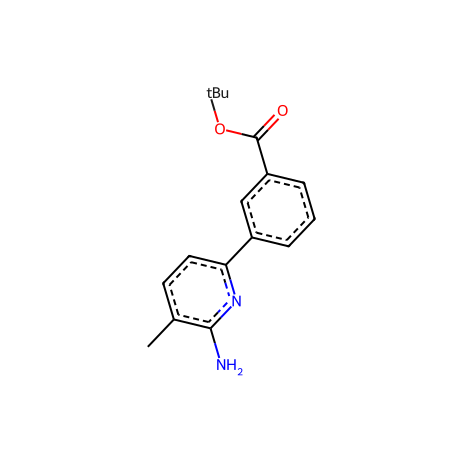 Cc1ccc(-c2cccc(C(=O)OC(C)(C)C)c2)nc1N